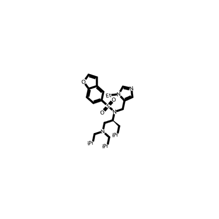 CCn1cncc1CN([C@@H](CC(C)C)CN(CC(C)C)CC(C)C)S(=O)(=O)c1ccc2occc2c1